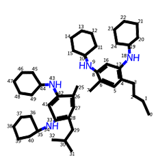 CCCCc1cc(C)c(NC2CCCCC2)cc1NC1CCCCC1.Cc1cc(CC(C)C)c(NC2CCCCC2)cc1NC1CCCCC1